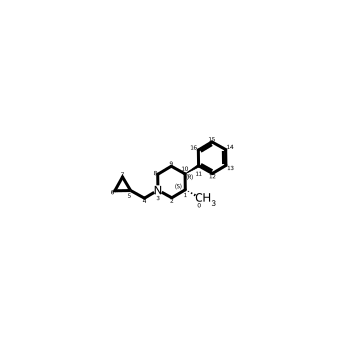 C[C@@H]1CN(CC2CC2)CC[C@H]1c1ccccc1